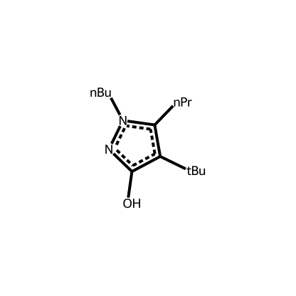 CCCCn1nc(O)c(C(C)(C)C)c1CCC